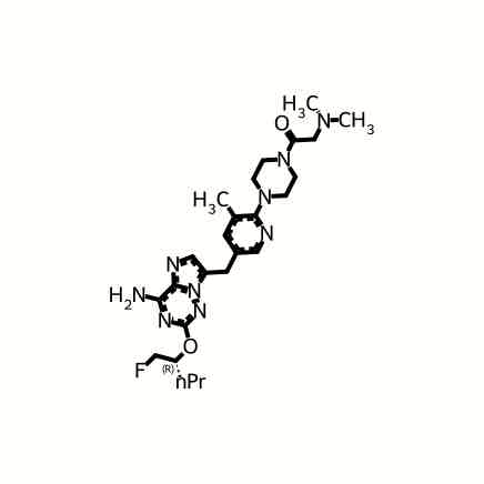 CCC[C@H](CF)Oc1nc(N)c2ncc(Cc3cnc(N4CCN(C(=O)CN(C)C)CC4)c(C)c3)n2n1